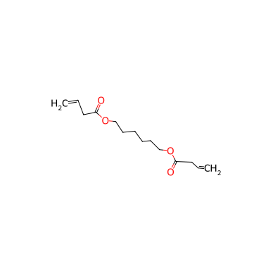 C=CCC(=O)OCCCCCCOC(=O)CC=C